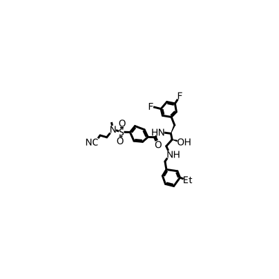 CCc1cccc(CNC[C@H](O)[C@H](Cc2cc(F)cc(F)c2)NC(=O)c2ccc(S(=O)(=O)N(C)CCC#N)cc2)c1